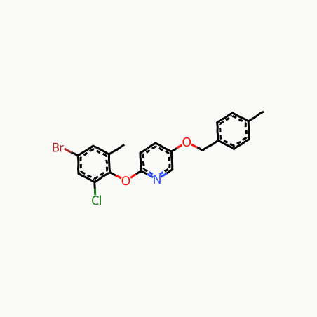 Cc1ccc(COc2ccc(Oc3c(C)cc(Br)cc3Cl)nc2)cc1